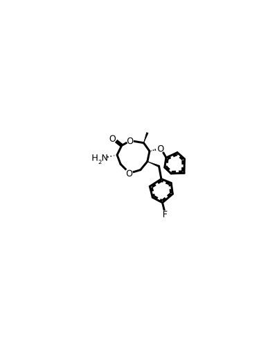 C[C@@H]1OC(=O)[C@@H](N)COC[C@H](Cc2ccc(F)cc2)[C@H]1Oc1ccccc1